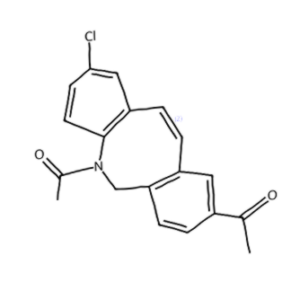 CC(=O)c1ccc2c(c1)/C=C\c1cc(Cl)ccc1N(C(C)=O)C2